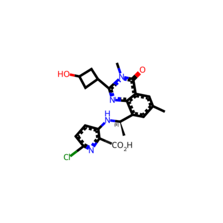 Cc1cc([C@@H](C)Nc2ccc(Cl)nc2C(=O)O)c2nc(C3CC(O)C3)n(C)c(=O)c2c1